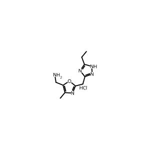 CCc1nc(Cc2nc(C)c(CN)o2)n[nH]1.Cl